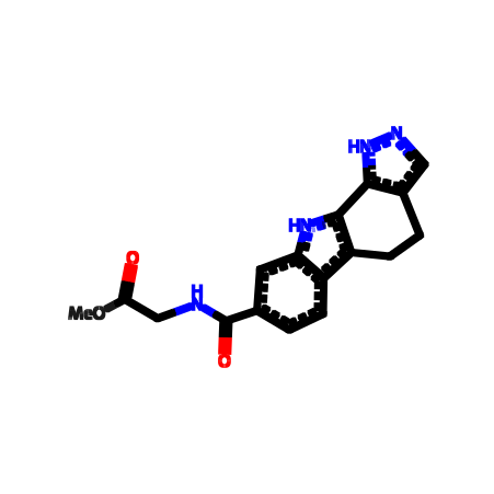 COC(=O)CNC(=O)c1ccc2c3c([nH]c2c1)-c1[nH]ncc1CC3